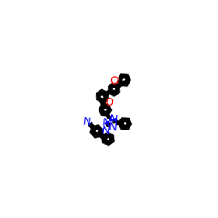 N#Cc1ccc2c3ccccc3n(-c3nc(-c4ccccc4)nc(-c4ccc5c(c4)oc4c(-c6ccc7c(c6)oc6ccccc67)cccc45)n3)c2c1